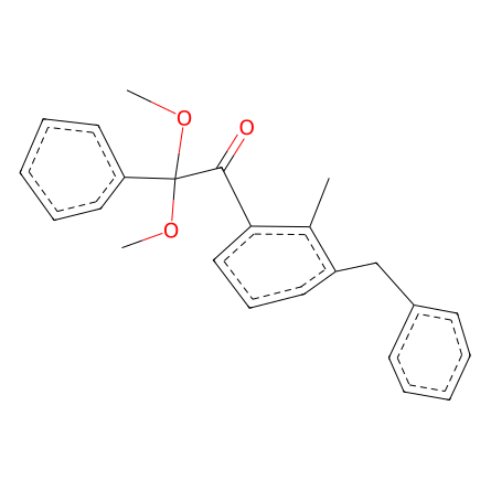 COC(OC)(C(=O)c1cccc(Cc2ccccc2)c1C)c1ccccc1